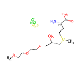 COCCOCCOCC(O)C[S+](C)CC[C@H](N)C(=O)O.Cl.S.[Cl-]